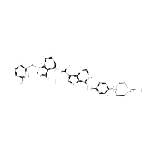 Cc1cccc(Cn2nc(C)c3c(NC(=O)c4csc5c(Nc6ccc(N7CCN(C(C)C)CC7)cc6)ncnc45)cccc32)n1